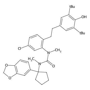 CN(C(=O)N(C)C1(c2ccc3c(c2)OCO3)CCCC1)c1cc(Cl)ccc1CCc1cc(C(C)(C)C)c(O)c(C(C)(C)C)c1